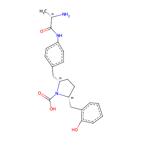 C[C@H](N)C(=O)Nc1ccc(C[C@@H]2CC[C@H](Cc3ccccc3O)N2C(=O)O)cc1